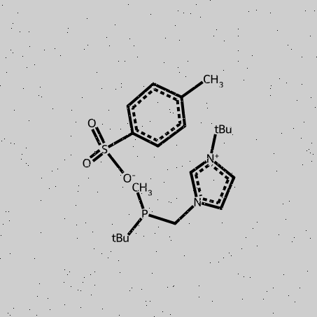 CP(Cn1cc[n+](C(C)(C)C)c1)C(C)(C)C.Cc1ccc(S(=O)(=O)[O-])cc1